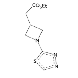 CCOC(=O)CC1CN(c2nncs2)C1